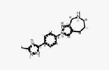 Cc1noc(-c2ccc(-n3cc4c(n3)CNCCC4)cc2)n1